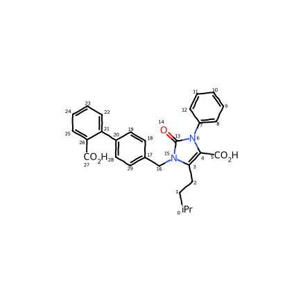 CC(C)CCc1c(C(=O)O)n(-c2ccccc2)c(=O)n1Cc1ccc(-c2ccccc2C(=O)O)cc1